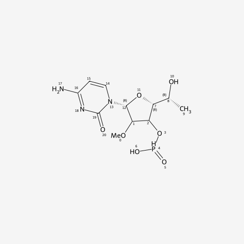 COC1C(O[PH](=O)O)[C@@H]([C@@H](C)O)O[C@H]1n1ccc(N)nc1=O